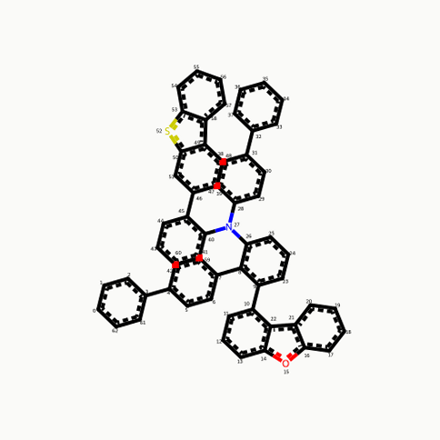 c1ccc(-c2ccc(-c3c(-c4cccc5oc6ccccc6c45)cccc3N(c3ccc(-c4ccccc4)cc3)c3ccccc3-c3ccc4c(c3)sc3ccccc34)cc2)cc1